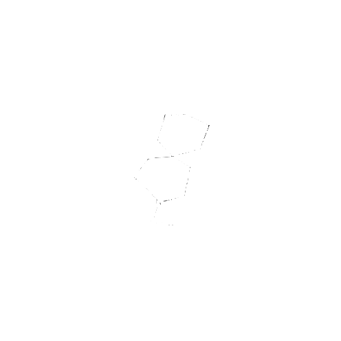 O=S(=O)(O)N1CCC2(CCCCC2)CC1